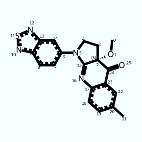 CO[C@@]12CCN(c3ccc4nsnc4c3)C1=Nc1ccc(C)cc1C2=O